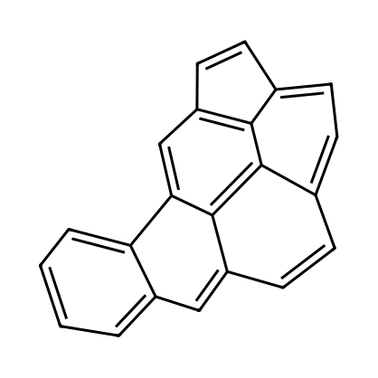 C1=Cc2cc3c4ccccc4cc4ccc5ccc1c2c5c43